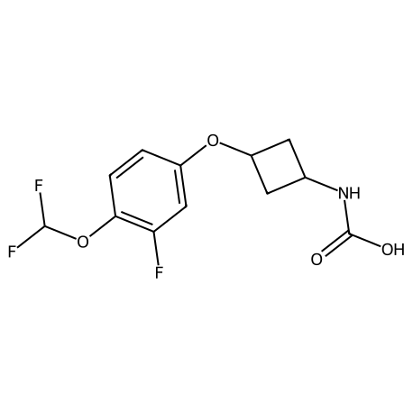 O=C(O)NC1CC(Oc2ccc(OC(F)F)c(F)c2)C1